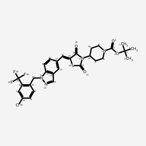 CC(C)(C)OC(=O)N1CCC(N2C(=O)SC(=Cc3ccc4c(cnn4Cc4ccc(Cl)cc4C(F)(F)F)c3)C2=O)CC1